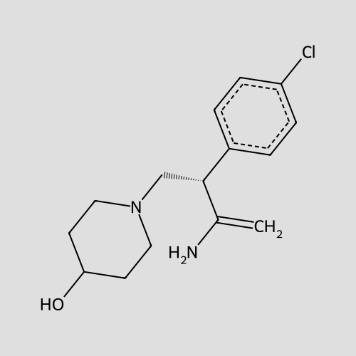 C=C(N)[C@H](CN1CCC(O)CC1)c1ccc(Cl)cc1